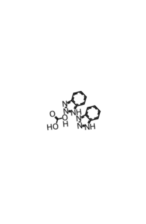 O=C(O)O.c1ccc2[nH]nnc2c1.c1ccc2[nH]nnc2c1